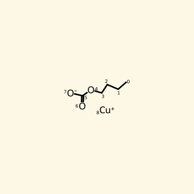 CCCCOC(=O)[O-].[Cu+]